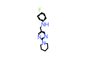 Fc1ccc(NCc2cnc(N3CCCCC3)nc2)cc1